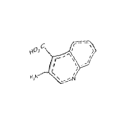 Nc1cnc2ccccc2c1C(=O)O